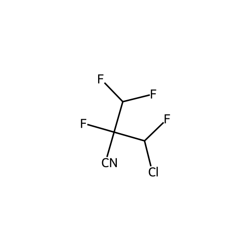 N#CC(F)(C(F)F)C(F)Cl